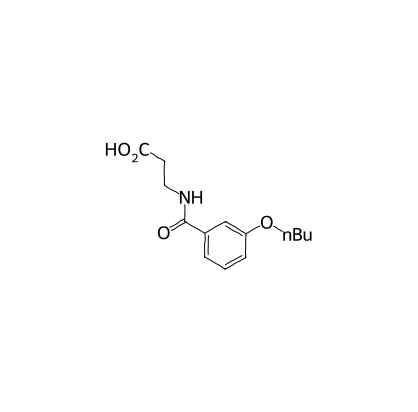 CCCCOc1cccc(C(=O)NCCC(=O)O)c1